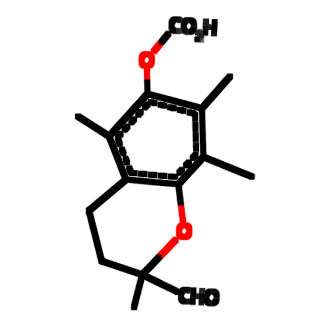 Cc1c(C)c2c(c(C)c1OC(=O)O)CCC(C)(C=O)O2